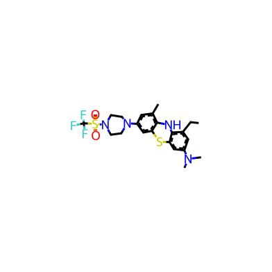 CCc1cc(N(C)C)cc2c1Nc1c(C)cc(N3CCN(S(=O)(=O)C(F)(F)F)CC3)cc1S2